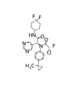 CC1(c2ccc(N(C(=O)[C@H](F)Cl)[C@H](C(=O)NC3CCC(F)(F)CC3)c3cncnc3)cc2)CC1